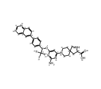 Nc1nc(O[C@H](c2ccc(-c3ccc4ncncc4c3)cc2)C(F)(F)F)cc(N2CCC3(CC2)CNC(C(=O)O)C3)n1